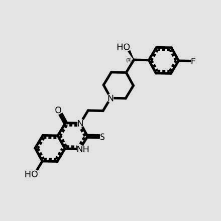 O=c1c2ccc(O)cc2[nH]c(=S)n1CCN1CCC([C@@H](O)c2ccc(F)cc2)CC1